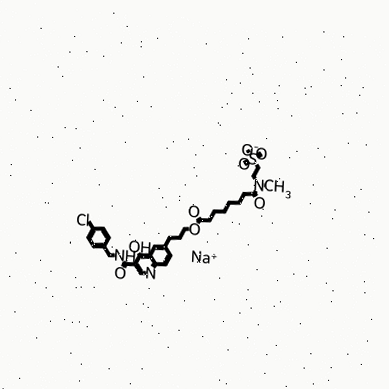 CN(CCS(=O)(=O)[O-])C(=O)CCCCCCC(=O)OCCCc1ccc2ncc(C(=O)NCc3ccc(Cl)cc3)c(O)c2c1.[Na+]